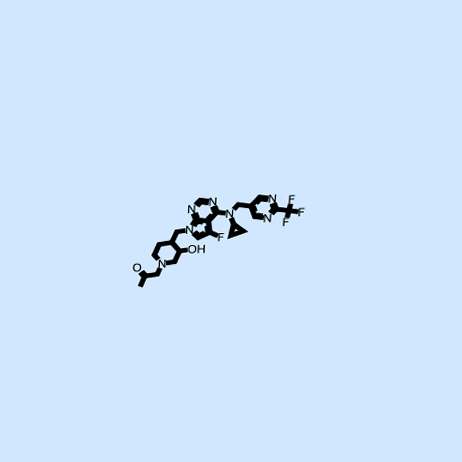 CC(=O)CN1CCC(Cn2cc(F)c3c(N(Cc4cnc(C(F)(F)F)nc4)C4CC4)ncnc32)C(O)C1